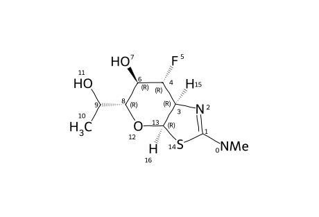 CNC1=N[C@@H]2[C@@H](F)[C@H](O)[C@@H](C(C)O)O[C@@H]2S1